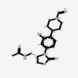 CC(=O)NC[C@H]1COC(=O)N1c1ccc(C2CCN(C=O)CC2)c(F)c1